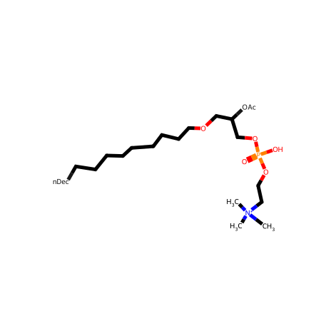 CCCCCCCCCCCCCCCCCCCOCC(COP(=O)(O)OCC[N+](C)(C)C)OC(C)=O